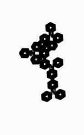 c1ccc(N(c2ccccc2)c2ccc(-c3ccc(N(c4ccccc4)c4cccc(-c5ccc6c(c5)-c5ccccc5C65c6cc(N(c7ccccc7)c7ccccc7)ccc6-c6ccc(N(c7ccccc7)c7ccccc7)cc65)c4)cc3)cc2)cc1